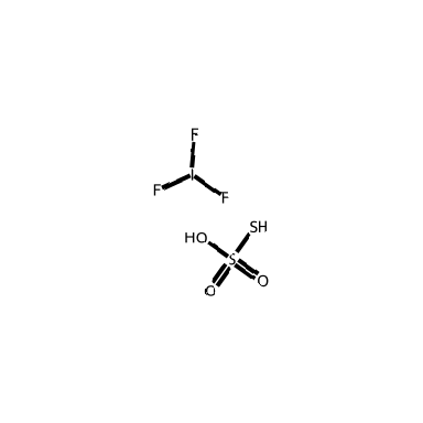 FI(F)F.O=S(=O)(O)S